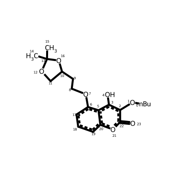 CCCCOc1c(O)c2c(OCCC3COC(C)(C)O3)cccc2oc1=O